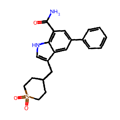 NC(=O)c1cc(-c2ccccc2)cc2c(CC3CCS(=O)(=O)CC3)c[nH]c12